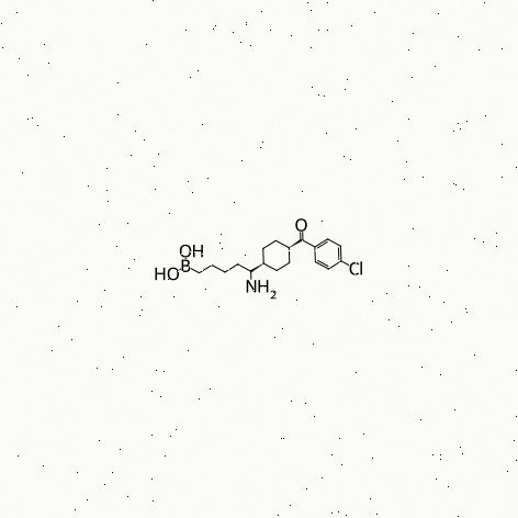 NC(CCCCB(O)O)[C@H]1CC[C@@H](C(=O)c2ccc(Cl)cc2)CC1